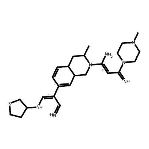 CC1CC2C=CC(/C(C=N)=C/NC3CCSC3)=CC2CN1/C(N)=C/C(=N)N1CCN(C)CC1